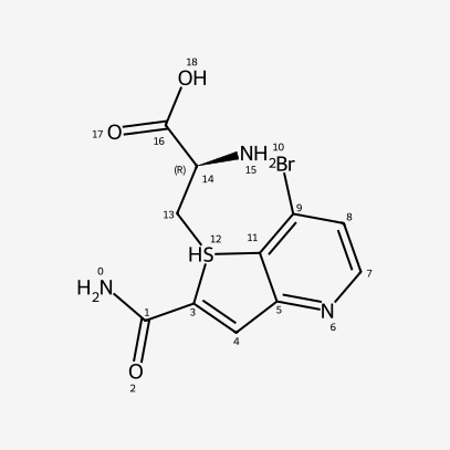 NC(=O)C1=Cc2nccc(Br)c2[SH]1C[C@H](N)C(=O)O